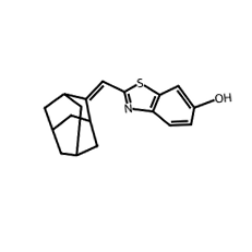 Oc1ccc2nc(C=C3C4CC5CC(C4)CC3C5)sc2c1